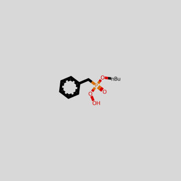 CCCCOP(=O)(Cc1ccccc1)OO